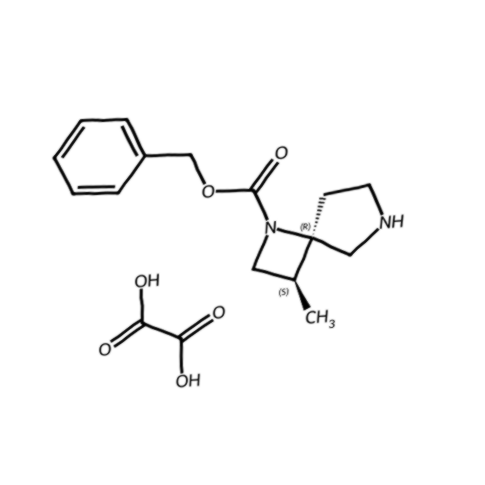 C[C@H]1CN(C(=O)OCc2ccccc2)[C@]12CCNC2.O=C(O)C(=O)O